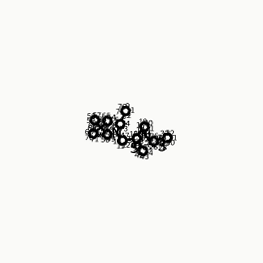 c1ccc(-c2ccc(N(c3cccc(-c4cc5c6ccccc6n(-c6ccc7sc8ccccc8c7c6)c5c5c4sc4ccccc45)c3)c3ccc4c(c3)C(c3ccccc3)(c3ccccc3)c3ccccc3-4)cc2)cc1